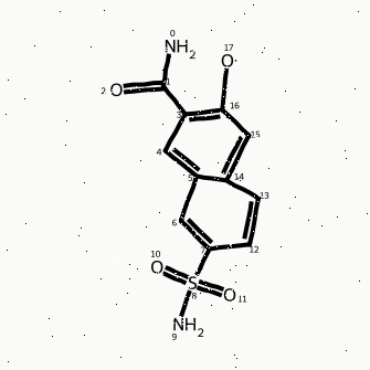 NC(=O)c1cc2cc(S(N)(=O)=O)ccc2cc1[O]